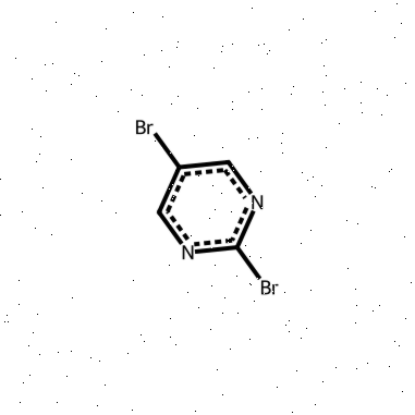 Brc1cnc(Br)nc1